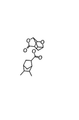 CC1C2CC(C(=O)OC3C4CC5C(=O)OC3C5O4)C(C2)C1C